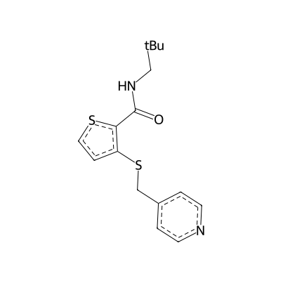 CC(C)(C)CNC(=O)c1sccc1SCc1ccncc1